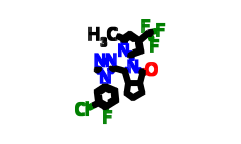 Cc1cc(C(F)(F)F)cc(N2C(=O)C3CCCC3C2c2nncn2-c2ccc(F)c(Cl)c2)n1